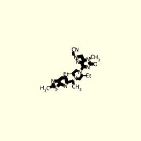 CC[C@H]1CN(C(C)c2ccc3nc(C)sc3n2)[C@H](CC)CN1c1nc(=O)n(C)c2cn(CC#N)nc12